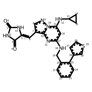 O=C1NC(=O)/C(=C/c2cnn3c(NC4CC4)cc(NCc4ccccc4-c4ccsc4)nc23)N1